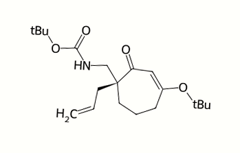 C=CC[C@]1(CNC(=O)OC(C)(C)C)CCCC(OC(C)(C)C)=CC1=O